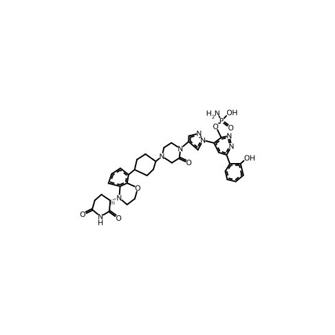 NP(=O)(O)Oc1nnc(-c2ccccc2O)cc1-n1cc(N2CCN(C3CCC(c4cccc5c4OCCN5[C@H]4CCC(=O)NC4=O)CC3)CC2=O)cn1